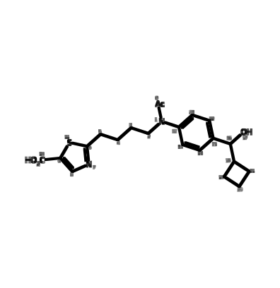 CC(=O)N(CCCCc1ncc(C(=O)O)s1)c1ccc(C(O)C2CCC2)cc1